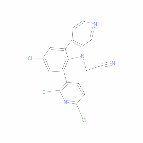 N#CCn1c2cnccc2c2cc(Cl)cc(-c3ccc(Cl)nc3Cl)c21